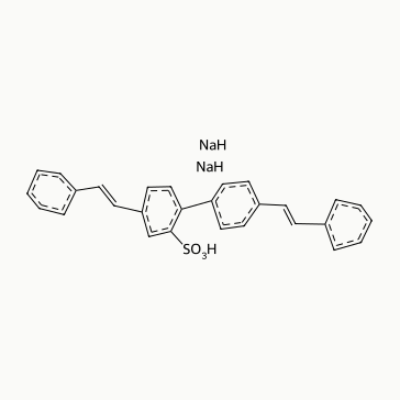 O=S(=O)(O)c1cc(C=Cc2ccccc2)ccc1-c1ccc(C=Cc2ccccc2)cc1.[NaH].[NaH]